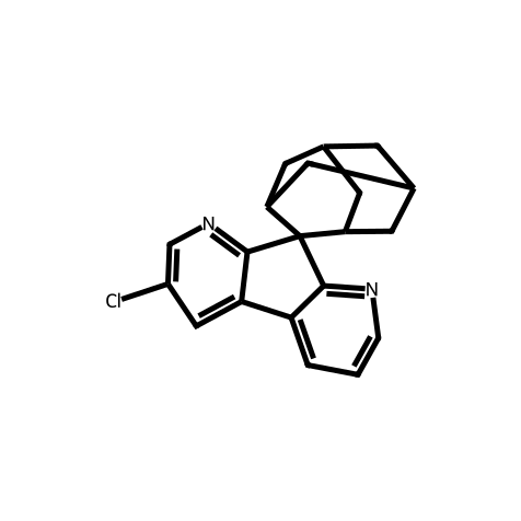 Clc1cnc2c(c1)-c1cccnc1C21C2CC3CC(C2)CC1C3